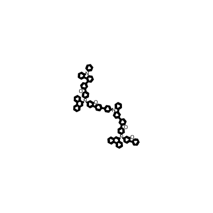 c1ccc(-n2c3ccccc3c3c(-c4ccc5oc6cc(N(c7ccc8c(c7)oc7cc(-c9ccc(-n%10c%11ccccc%11c%11cc(-c%12ccc%13oc%14cc(N(c%15ccc%16c(c%15)oc%15ccccc%15%16)c%15cc%16ccccc%16c%16ccccc%15%16)ccc%14c%13c%12)ccc%11%10)cc9)ccc78)c7cc8ccccc8c8ccccc78)ccc6c5c4)cccc32)cc1